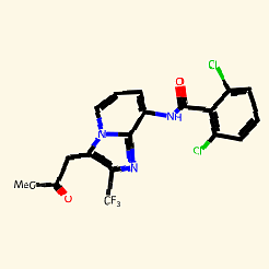 COC(=O)Cc1c(C(F)(F)F)nc2c(NC(=O)c3c(Cl)cccc3Cl)cccn12